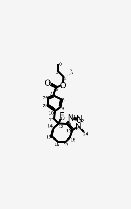 CC[C@H](C)OC(=O)c1ccc(CC2(F)CCCCCc3c2nnn3C)cc1